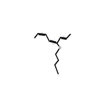 C\C=C/C=C(\C=C\C)OCCCC